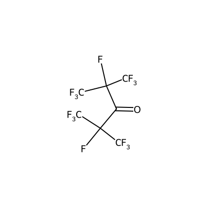 O=C(C(F)(C(F)(F)F)C(F)(F)F)C(F)(C(F)(F)F)C(F)(F)F